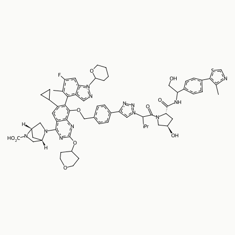 Cc1ncsc1-c1ccc(C(CO)NC(=O)[C@@H]2C[C@@H](O)CN2C(=O)C(C(C)C)n2cc(-c3ccc(COc4c(-c5c(C)c(F)cc6c5cnn6C5CCCCO5)c(C5CC5)cc5c(N6C[C@@H]7C[C@H]6CN7C(=O)O)nc(OC6CCOCC6)nc45)cc3)nn2)cc1